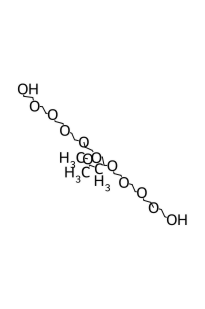 COC(C)C.OCCOCCOCCOCCOCCOCCOCCOCCOCCOCCO